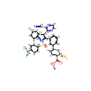 COC(=O)C1=CC(C)=C(c2cccc(-c3c(-c4nccnc4C#N)c4cc(F)ccc4n3[S+]([O-])c3ccc(C(F)F)cc3)c2)CC1P